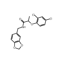 CC(Oc1ccc(Cl)cc1Cl)C(=O)NCc1ccc2c(c1)OCO2